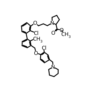 COC(=O)C1CCCN1CCCOc1cccc(-c2cccc(COc3ccc(CN4CCCCC4)cc3Cl)c2C)c1Cl